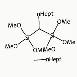 CCCCCCCC.CCCCCCCC([Si](OC)(OC)OC)[Si](OC)(OC)OC